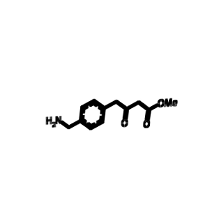 COC(=O)CC(=O)Cc1ccc(CN)cc1